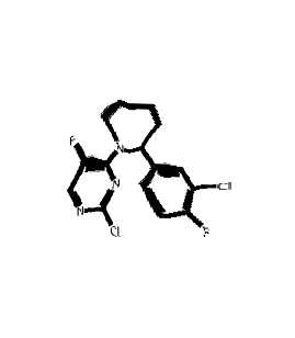 Fc1ccc(C2CCCCN2c2nc(Cl)ncc2F)cc1Cl